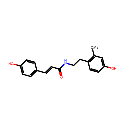 COc1cc(O)ccc1CCNC(=O)/C=C/c1ccc(O)cc1